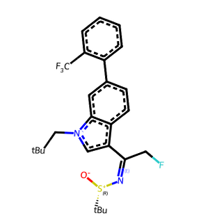 CC(C)(C)Cn1cc(/C(CF)=N\[S@@+]([O-])C(C)(C)C)c2ccc(-c3ccccc3C(F)(F)F)cc21